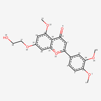 COc1ccc(-c2cc(=O)c3c(OC)cc(OCCO)cc3o2)cc1OC